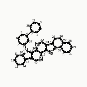 c1ccc(-c2cccc(-n3c4ccccc4c4cnc5c(ncc6c7ccc8ccccc8c7sc65)c43)c2)cc1